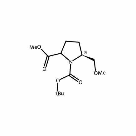 COC[C@@H]1CCC(C(=O)OC)N1C(=O)OC(C)(C)C